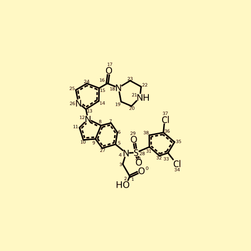 O=C(O)CN(c1ccc2c(ccn2-c2cc(C(=O)N3CCNCC3)ccn2)c1)S(=O)(=O)c1cc(Cl)cc(Cl)c1